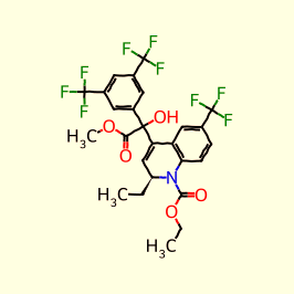 CCOC(=O)N1c2ccc(C(F)(F)F)cc2C(C(O)(C(=O)OC)c2cc(C(F)(F)F)cc(C(F)(F)F)c2)=C[C@@H]1CC